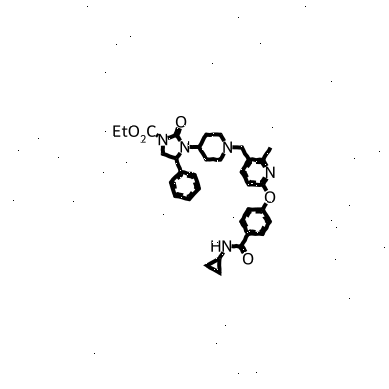 CCOC(=O)N1CC(c2ccccc2)N(C2CCN(Cc3ccc(Oc4ccc(C(=O)NC5CC5)cc4)nc3C)CC2)C1=O